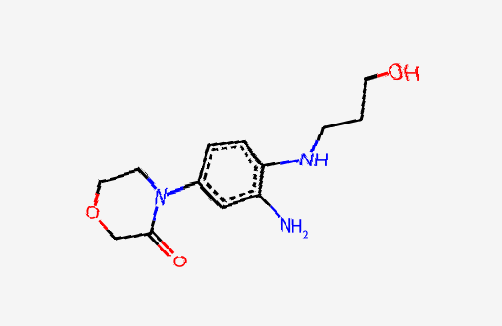 Nc1cc(N2CCOCC2=O)ccc1NCCCO